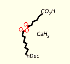 CCCCCCCCCCCCCCCCCC(=O)OC(=O)CCCCCC(=O)O.[CaH2]